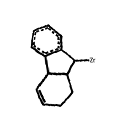 [Zr][CH]1c2ccccc2C2C=CCCC12